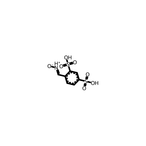 O=S(=O)(O)c1ccc(C=[NH+][O-])c(S(=O)(=O)O)c1